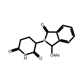 COC1c2ccccc2C(=O)N1C1CCC(=O)NC1=O